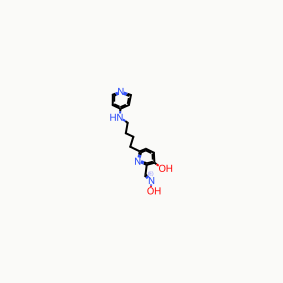 O/N=C/c1nc(CCCCNc2ccncc2)ccc1O